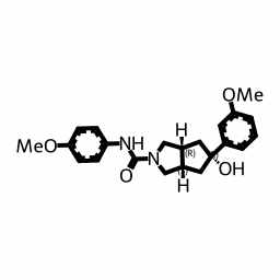 COc1ccc(NC(=O)N2C[C@@H]3C[C@@](O)(c4cccc(OC)c4)C[C@@H]3C2)cc1